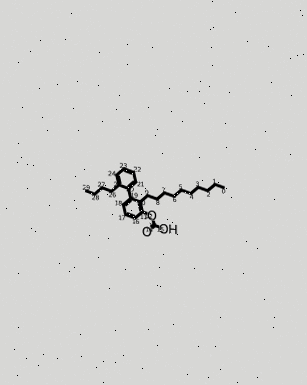 CCCCCCCCCCc1c(OC(=O)O)cccc1-c1ccccc1CCCC